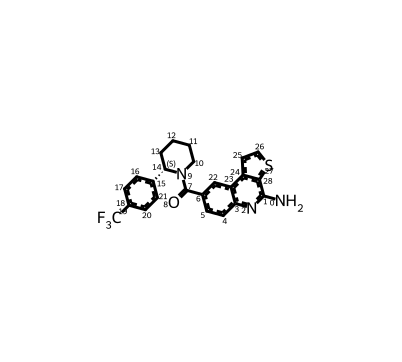 Nc1nc2ccc(C(=O)N3CCCC[C@H]3c3ccc(C(F)(F)F)cc3)cc2c2ccsc12